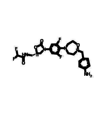 Nc1ccc(CN2CCN(c3c(F)cc(N4C[C@H](CNC(=O)C(F)F)OC4=O)cc3F)CCO2)cc1